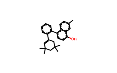 Cc1ccc2c(-c3ccccc3C3=CC(C)(C)CC(C)(C)C3)ccc(O)c2c1